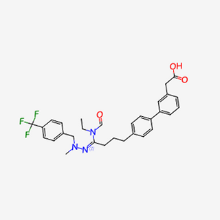 CCN(C=O)/C(CCCc1ccc(-c2cccc(CC(=O)O)c2)cc1)=N\N(C)Cc1ccc(C(F)(F)F)cc1